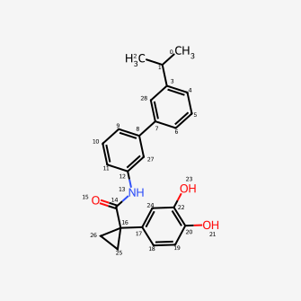 CC(C)c1cccc(-c2cccc(NC(=O)C3(c4ccc(O)c(O)c4)CC3)c2)c1